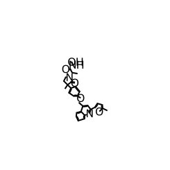 Cc1ccc(-c2cc(COc3ccc(C4(C)CCN(C(C)C(=O)NO)C4=O)cc3)c3ccccc3n2)o1